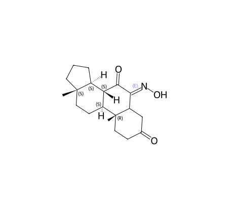 C[C@@]12CCC[C@H]1[C@@H]1C(=O)/C(=N/O)C3CC(=O)CC[C@]3(C)[C@H]1CC2